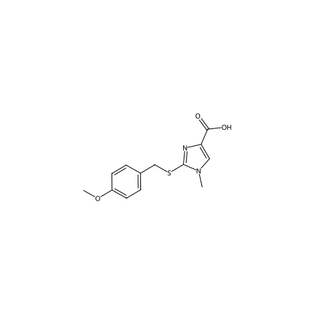 COc1ccc(CSc2nc(C(=O)O)cn2C)cc1